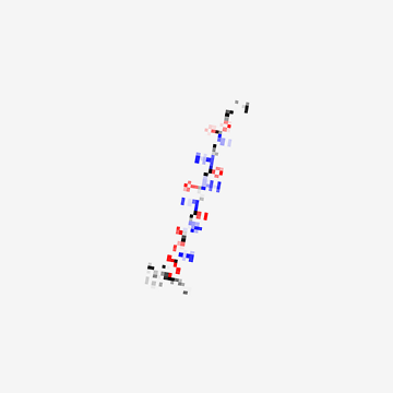 C#CCOC(=O)NCCNC(=O)CNC(=O)CNC(=O)CNC(=O)CONC(=O)OC(C)(C)C